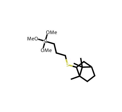 CO[Si](CCCSC1CC2CCC1(C)C2(C)C)(OC)OC